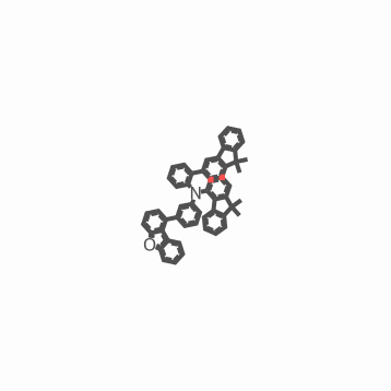 CC1(C)c2ccccc2-c2cc(-c3ccccc3N(c3cccc(-c4cccc5oc6ccccc6c45)c3)c3cccc4c3-c3ccccc3C4(C)C)ccc21